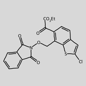 CCOC(=O)C(=O)c1ccc2cc(Cl)sc2c1CON1C(=O)c2ccccc2C1=O